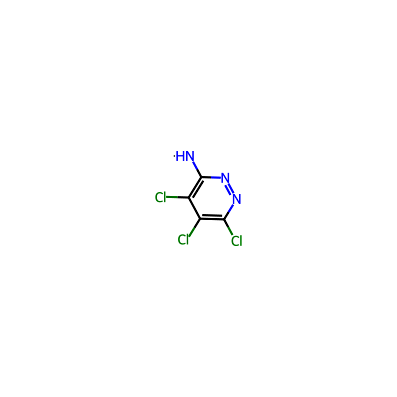 [NH]c1nnc(Cl)c(Cl)c1Cl